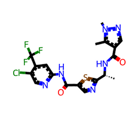 Cc1c(C(=O)N[C@H](C)c2ncc(C(=O)Nc3cc(C(F)(F)F)c(Cl)cn3)s2)cnn1C